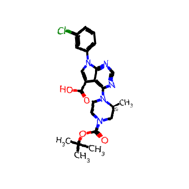 C[C@H]1CN(C(=O)OC(C)(C)C)CCN1c1ncnc2c1c(C(=O)O)cn2-c1cccc(Cl)c1